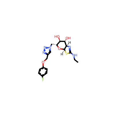 CCNC1=N[C@@H]2[C@@H](O)[C@H](O)[C@@H](Cn3cc(COc4ccc(F)cc4)nn3)O[C@@H]2S1